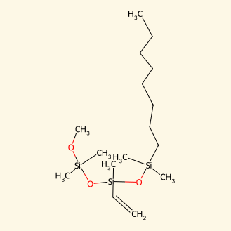 C=C[Si](C)(O[Si](C)(C)CCCCCCCC)O[Si](C)(C)OC